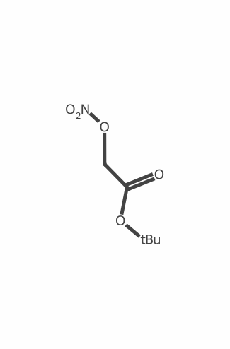 CC(C)(C)OC(=O)CO[N+](=O)[O-]